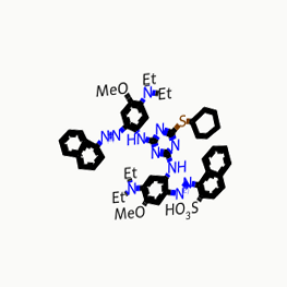 CCN(CC)c1cc(Nc2nc(Nc3cc(N(CC)CC)c(OC)cc3/N=N/c3c(S(=O)(=O)O)ccc4ccccc34)nc(SC3CCCCC3)n2)c(/N=N/c2cccc3ccccc23)cc1OC